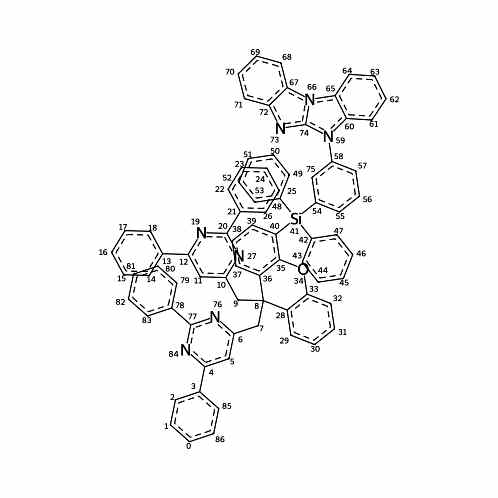 c1ccc(-c2cc(CC3(Cc4cc(-c5ccccc5)nc(-c5ccccc5)n4)c4ccccc4Oc4c3cccc4[Si](c3ccccc3)(c3ccccc3)c3cccc(-n4c5ccccc5n5c6ccccc6nc45)c3)nc(-c3ccccc3)n2)cc1